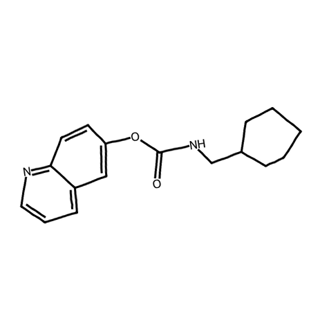 O=C(NCC1CCCCC1)Oc1ccc2ncccc2c1